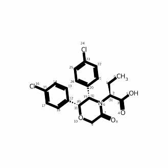 CC[C@@H](C(=O)O)N1C(=O)CO[C@H](c2ccc(Cl)cc2)[C@@H]1c1ccc(Cl)cc1